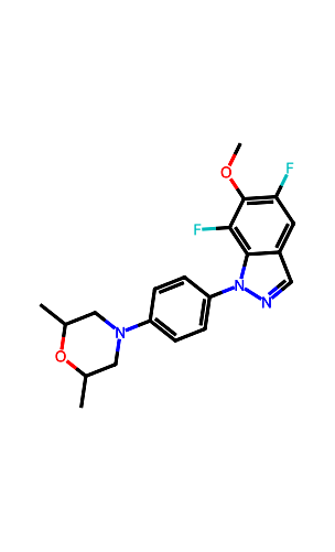 COc1c(F)cc2cnn(-c3ccc(N4CC(C)OC(C)C4)cc3)c2c1F